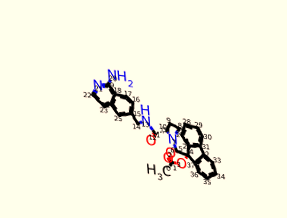 CC(=O)OC1(C(=O)N2CC[C@H]2C(=O)NCc2ccc3c(N)nccc3c2)c2ccccc2-c2ccccc21